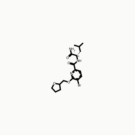 CC(C)C[C@H](NC(=O)c1ccc(Br)c(OCC2CCCO2)n1)C(N)=O